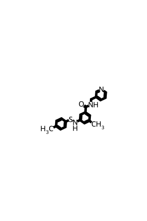 Cc1ccc(SNc2cc(C)cc(C(=O)NCc3cccnc3)c2)cc1